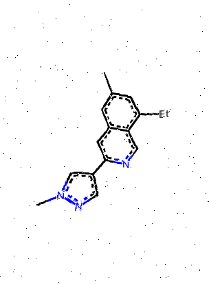 CCc1cc(C)cc2cc(-c3cnn(C)c3)ncc12